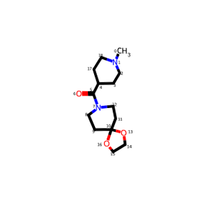 CN1CCC(C(=O)N2CCC3(CC2)OCCO3)CC1